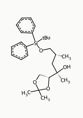 C[C@@H](CO[Si](c1ccccc1)(c1ccccc1)C(C)(C)C)C[C@@](C)(O)[C@H]1COC(C)(C)O1